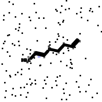 C=CCCO/C=C/C(=O)O